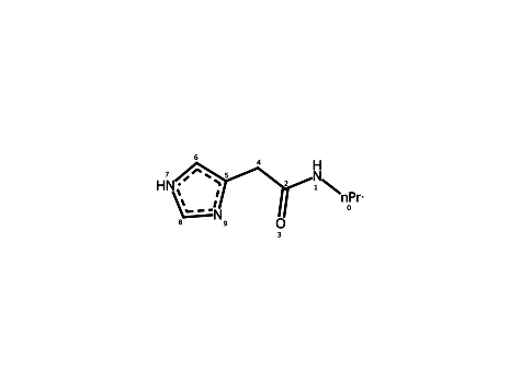 CC[CH]NC(=O)Cc1c[nH]cn1